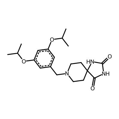 CC(C)Oc1cc(CN2CCC3(CC2)NC(=O)NC3=O)cc(OC(C)C)c1